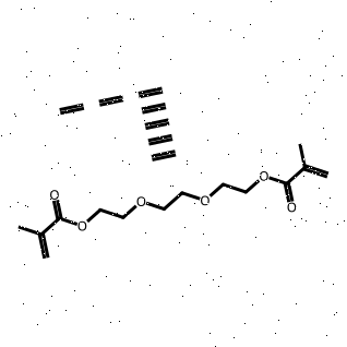 C=C.C=C.C=C.C=C.C=C.C=C.C=C.C=C(C)C(=O)OCCOCCOCCOC(=O)C(=C)C